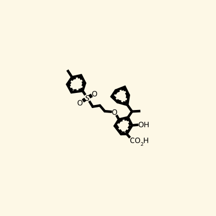 Cc1ccc(S(=O)(=O)CCCOc2ccc(C(=O)O)c(O)c2C(C)c2ccccc2)cc1